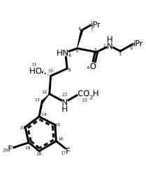 CC(C)CNC(=O)[C@H](CC(C)C)NC[C@@H](O)[C@H](Cc1cc(F)cc(F)c1)NC(=O)O